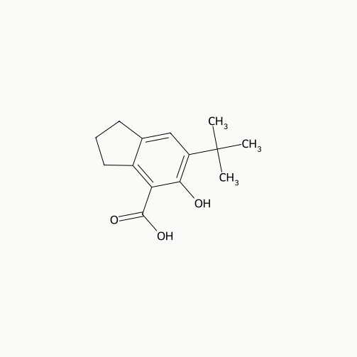 CC(C)(C)c1cc2c(c(C(=O)O)c1O)CCC2